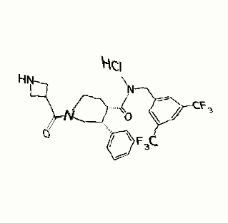 CN(Cc1cc(C(F)(F)F)cc(C(F)(F)F)c1)C(=O)[C@H]1CCN(C(=O)C2CNC2)C[C@H]1c1ccccc1.Cl